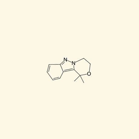 CC1(C)OCCn2nc3ccccc3c21